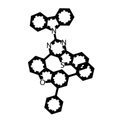 c1ccc(-c2cc(-c3ccccc3)c3oc4cccc(-c5nc(-n6c7ccccc7c7ccccc76)nc6c5sc5ccccc56)c4c3c2)cc1